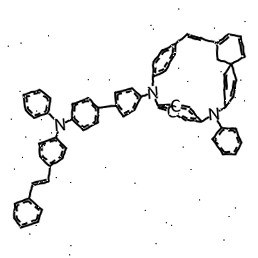 C1=CC23C=CC(C=C2)N(c2ccccc2)c2ccc(cc2)N(c2ccc(-c4ccc(N(c5ccccc5)c5ccc(C=Cc6ccccc6)cc5)cc4)cc2)c2ccc(cc2)C=CC(=C1)C3